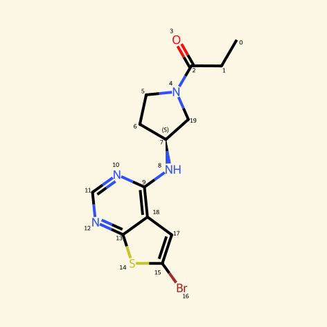 CCC(=O)N1CC[C@H](Nc2ncnc3sc(Br)cc23)C1